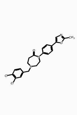 Cc1ncc(-c2ccc(N3CCN(Cc4ccc(Cl)c(Cl)c4)CCC3=O)cc2)o1